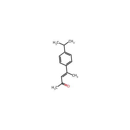 CC(=O)/C=C(\C)c1ccc(C(C)C)cc1